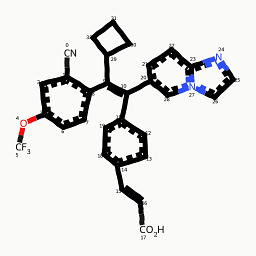 N#Cc1cc(OC(F)(F)F)ccc1C(=C(c1ccc(C=CC(=O)O)cc1)c1ccc2nccn2c1)C1CCC1